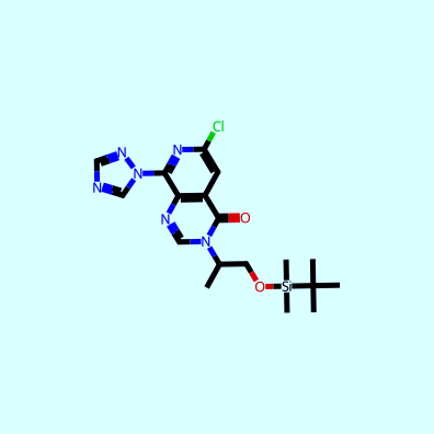 CC(CO[Si](C)(C)C(C)(C)C)n1cnc2c(-n3cncn3)nc(Cl)cc2c1=O